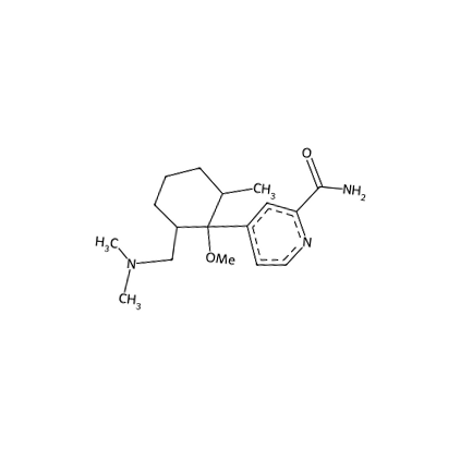 COC1(c2ccnc(C(N)=O)c2)C(C)CCCC1CN(C)C